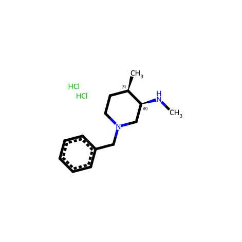 CN[C@H]1CN(Cc2ccccc2)CC[C@H]1C.Cl.Cl